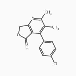 Cc1nc2c(c(-c3ccc(Cl)cc3)c1C)C(=O)OC2